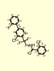 O=C(NCC(F)(F)c1ncc(-c2ccccc2F)cc1Cl)c1ccccc1C(F)(F)F